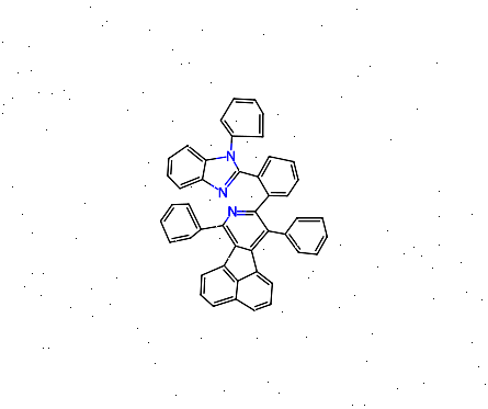 c1ccc(-c2nc(-c3ccccc3-c3nc4ccccc4n3-c3ccccc3)c(-c3ccccc3)c3c2-c2cccc4cccc-3c24)cc1